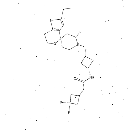 CCc1cc2c(s1)CCO[C@@]21CCN(C[C@H]2C[C@@H](NC(=O)CC3CC(F)(F)C3)C2)[C@@H](C)C1